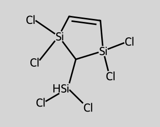 Cl[SiH](Cl)C1[Si](Cl)(Cl)C=C[Si]1(Cl)Cl